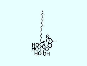 CCCCCCCCCCCCCCCC(=S)C(O)[C@H]1O[C@@H](Oc2ccc3c(C)cc(=O)oc3c2)[C@H](O)[C@@H](O)[C@H]1O